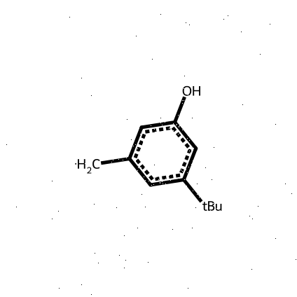 [CH2]c1cc(O)cc(C(C)(C)C)c1